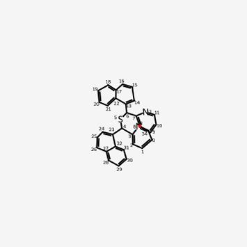 c1ccc(C(SC(c2ccccn2)c2cccc3ccccc23)c2cccc3ccccc23)nc1